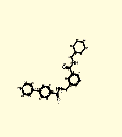 O=C(NCc1cccc(C(=O)NCC2CCCCC2)c1)c1ccc(-c2ccncc2)cc1